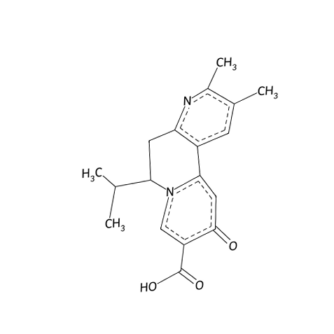 Cc1cc2c(nc1C)CC(C(C)C)n1cc(C(=O)O)c(=O)cc1-2